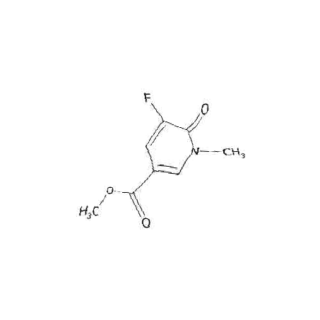 COC(=O)c1cc(F)c(=O)n(C)c1